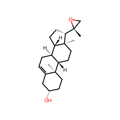 C[C@]12CC[C@H]3[C@@H](CC=C4C[C@@H](O)CC[C@@]43C)[C@@H]1CC[C@@H]2[C@@]1(C)CO1